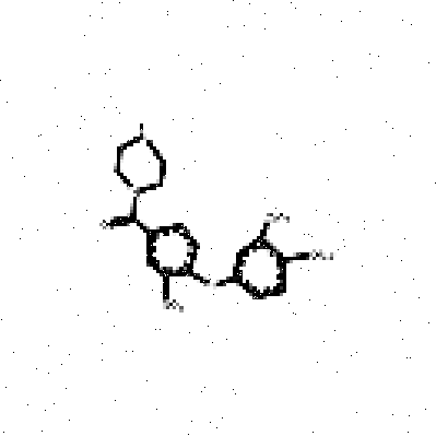 COc1ccc(Oc2ccc(C(=O)N3CCNCC3)cc2[N+](=O)[O-])cc1OC